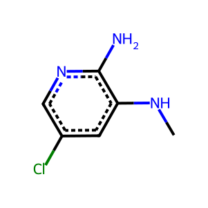 CNc1cc(Cl)cnc1N